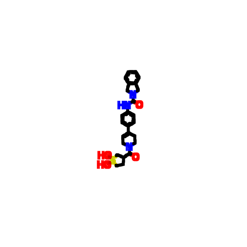 O=C(Nc1ccc(C2=CCN(C(=O)C3CCS(O)(O)C3)CC2)cc1)N1Cc2ccccc2C1